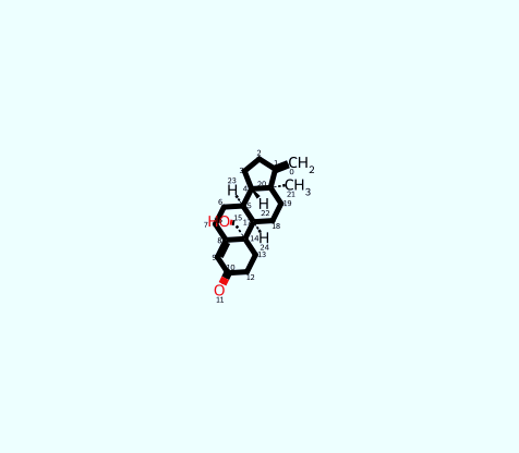 C=C1CC[C@H]2[C@@H]3CCC4=CC(=O)CC[C@]4(CO)[C@@H]3CC[C@]12C